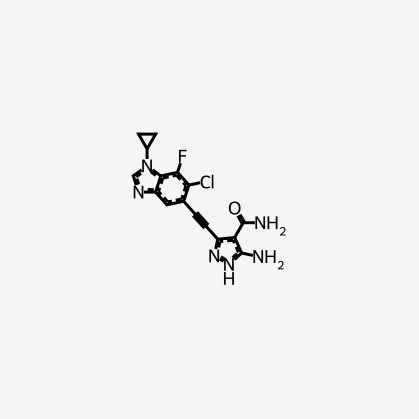 NC(=O)c1c(C#Cc2cc3ncn(C4CC4)c3c(F)c2Cl)n[nH]c1N